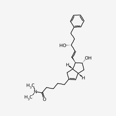 CN(C)C(=O)CCCCC1=C[C@H]2C[C@@H](O)[C@H](/C=C/[C@H](O)CCc3ccccc3)[C@H]2C1